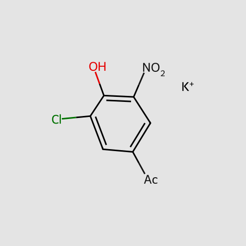 CC(=O)c1cc(Cl)c(O)c([N+](=O)[O-])c1.[K+]